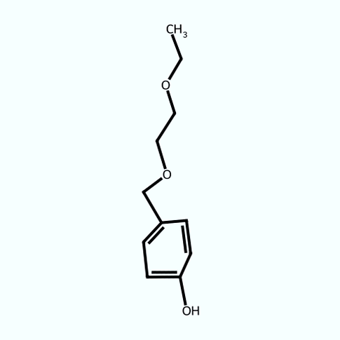 CCOCCOCc1ccc(O)cc1